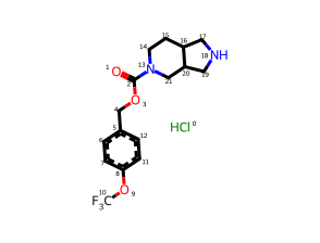 Cl.O=C(OCc1ccc(OC(F)(F)F)cc1)N1CCC2CNCC2C1